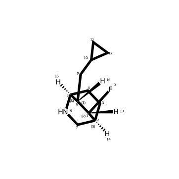 F[C@@H]1[C@H]2CC[C@H](NC2)[C@@H]1CC1CC1